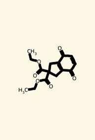 CCOC(=O)C1(C(=O)OCC)CC2=C(C1)C(=O)C=CC2=O